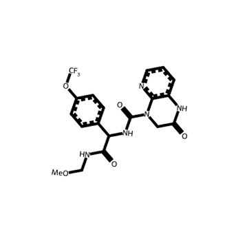 COCNC(=O)C(NC(=O)N1CC(=O)Nc2cccnc21)c1ccc(OC(F)(F)F)cc1